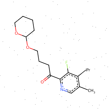 Cc1cnc(C(=O)CCCOC2CCCCO2)c(F)c1C(C)C